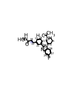 CC(C)N1CCC[C@@H](n2c(-c3cccc(/C=C/C(=O)NO)c3)nc3cc(F)ccc32)C1